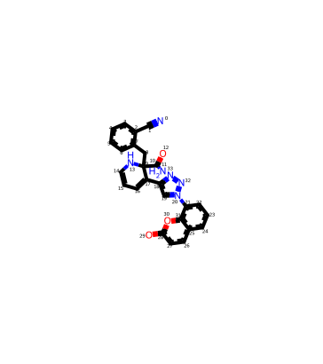 N#Cc1ccccc1CC1(C(N)=O)NC=CC=C1c1cn(-c2cccc3ccc(=O)oc23)nn1